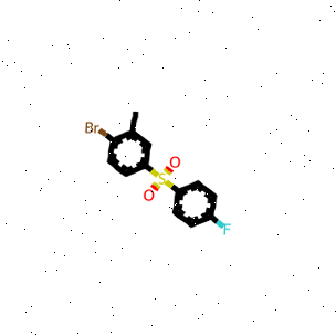 Cc1cc(S(=O)(=O)c2ccc(F)cc2)ccc1Br